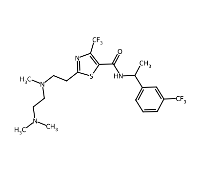 CC(NC(=O)c1sc(CCN(C)CCN(C)C)nc1C(F)(F)F)c1cccc(C(F)(F)F)c1